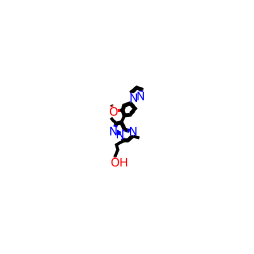 COc1cc(-n2cccn2)ccc1-c1c(C)nn2c(CCCO)cc(C)nc12